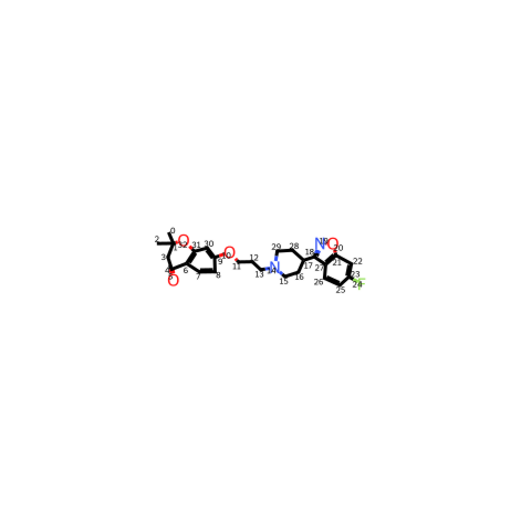 CC1(C)CC(=O)c2ccc(OCCCN3CCC(c4noc5cc(F)ccc45)CC3)cc2O1